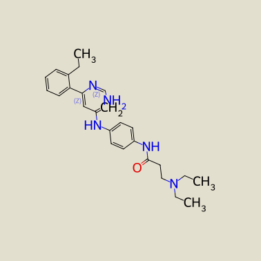 C=C(/C=C(\N=C/N)c1ccccc1CC)Nc1ccc(NC(=O)CCN(CC)CC)cc1